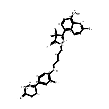 CCc1ccc2c(C3=NN(CCCCOc4ccc(C5=NNC(=O)CC5)cc4F)C(=O)C3(C)C)ccc(OC)c2n1